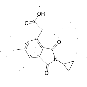 Cc1cc(CC(=O)O)c2c(c1)C(=O)N(C1CC1)C2=O